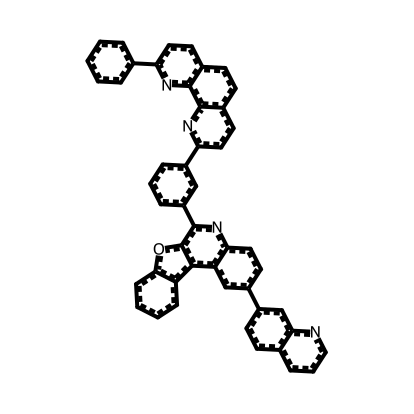 c1ccc(-c2ccc3ccc4ccc(-c5cccc(-c6nc7ccc(-c8ccc9cccnc9c8)cc7c7c6oc6ccccc67)c5)nc4c3n2)cc1